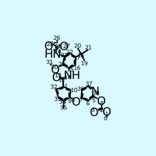 COC(=O)Oc1cc(Oc2cc(C(=O)Nc3cc(C(C)(C)C)cc(NS(C)(=O)=O)c3OC)ccc2C)ccn1